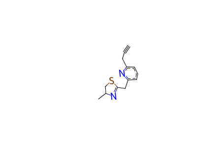 C#CCc1cccc(CC2=NC(C)CS2)n1